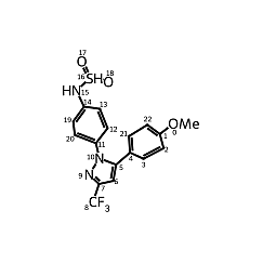 COc1ccc(-c2cc(C(F)(F)F)nn2-c2ccc(N[SH](=O)=O)cc2)cc1